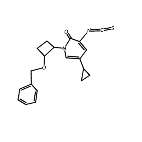 O=c1c(N=C=S)cc(C2CC2)cn1C1CCC1OCc1ccccc1